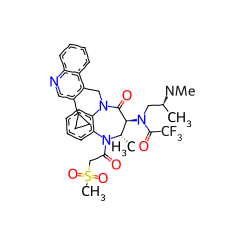 CN[C@@H](C)CN(C(=O)C(F)(F)F)[C@@H]1C(=O)N(Cc2c(C3CC3)cnc3ccccc23)c2ccccc2N(C(=O)CS(C)(=O)=O)[C@H]1C